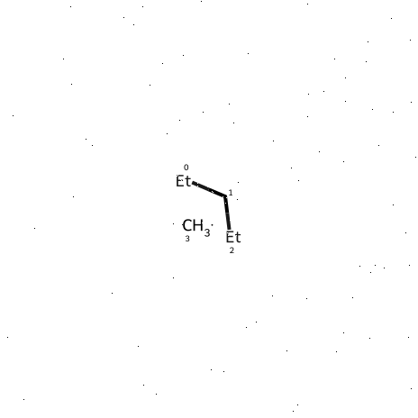 [CH2]CCCC.[CH3]